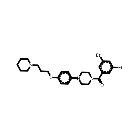 CCc1cc(CC)cc(C(=O)N2CCN(c3ccc(OCCCN4CCCCC4)cc3)CC2)c1